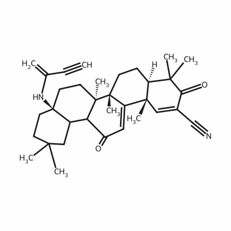 C#CC(=C)N[C@]12CCC(C)(C)CC1C1C(=O)C=C3[C@@]4(C)C=C(C#N)C(=O)C(C)(C)[C@@H]4CC[C@@]3(C)[C@]1(C)CC2